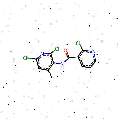 Cc1cc(Cl)nc(Cl)c1NC(=O)c1cccnc1Cl